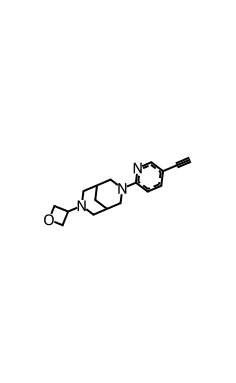 C#Cc1ccc(N2CC3CC(C2)CN(C2COC2)C3)nc1